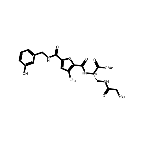 COC(=O)[C@H](CNC(=O)CC(C)(C)C)NC(=O)c1sc(C(=O)NCc2cccc(O)c2)cc1C